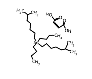 CCC[CH2][Sn]([CH2]CCC)([CH2]CCCCC(C)C)[CH2]CCCCC(C)C.O=C(O)/C=C\C(=O)O